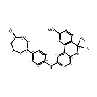 COc1ccc2c(c1)-c1nc(Nc3ccc(N4CCCC(C)NC4)cc3)ncc1CC2(C)C